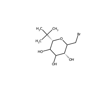 CC(C)(C)[C@@H]1OC(CBr)[C@H](O)C(O)C1O